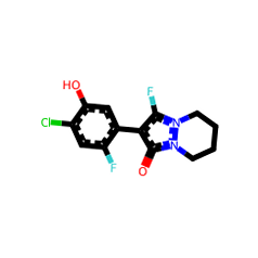 O=c1c(-c2cc(O)c(Cl)cc2F)c(F)n2n1CCCC2